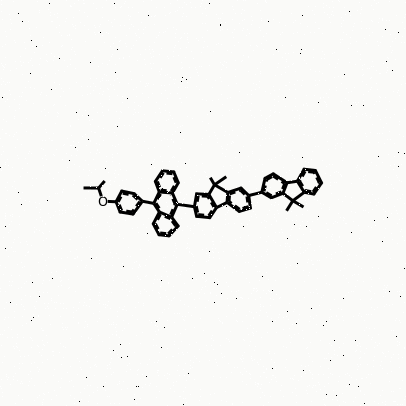 CC(C)Oc1ccc(-c2c3ccccc3c(-c3ccc4c(c3)C(C)(C)c3cc(-c5ccc6c(c5)C(C)(C)c5ccccc5-6)ccc3-4)c3ccccc23)cc1